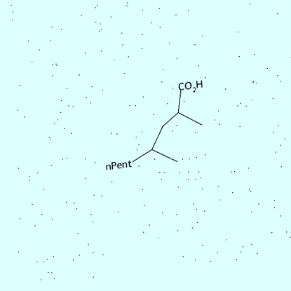 CCCCCC(C)CC(C)C(=O)O